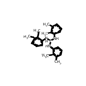 Cc1cccc(NP(Nc2cccc(C)c2C)Nc2cccc(C)c2C)c1C